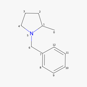 CC1CCCN1Cc1ccccc1